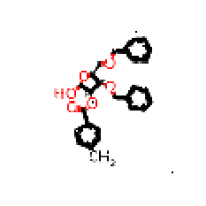 Cc1ccc(C(=O)O[C@@H]2C(O)O[C@@H](COCc3ccccc3)[C@H]2OCc2ccccc2)cc1